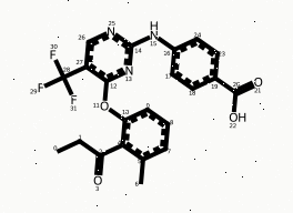 CCC(=O)c1c(C)cccc1Oc1nc(Nc2ccc(C(=O)O)cc2)ncc1C(F)(F)F